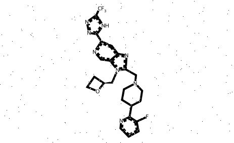 Fc1cccnc1C1CCN(Cc2nc3cc(-c4nnc(C(F)(F)F)[nH]4)ncc3n2C[C@@H]2CCO2)CC1